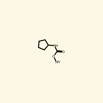 [CH2]CCOC(=O)NC1CCCC1